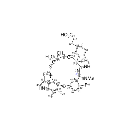 CN/C1=N\C(=N)[C@@](C)(c2cccc(CCC(=O)O)c2)CCCC(C)(C)CSCCc2c(c(F)c(F)c3[nH]cc(F)c23)Oc2ccc(F)c1c2